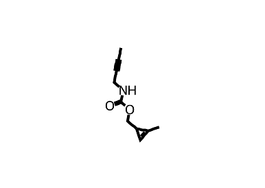 CC#CCNC(=O)OCC1C=C1C